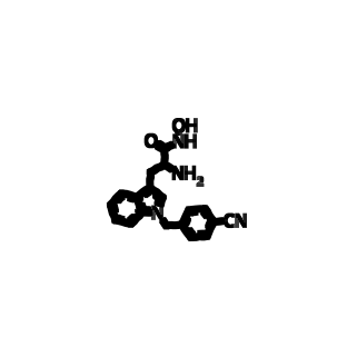 N#Cc1ccc(Cn2cc(CC(N)C(=O)NO)c3ccccc32)cc1